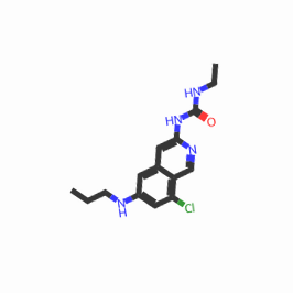 CCCNc1cc(Cl)c2cnc(NC(=O)NCC)cc2c1